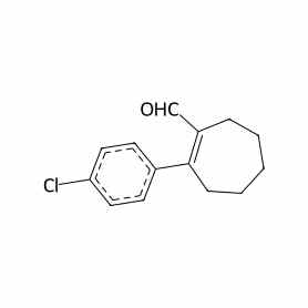 O=CC1=C(c2ccc(Cl)cc2)CCCCC1